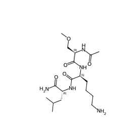 COC[C@@H](NC(C)=O)C(=O)N[C@@H](CCCCN)C(=O)N[C@H](CC(C)C)C(N)=O